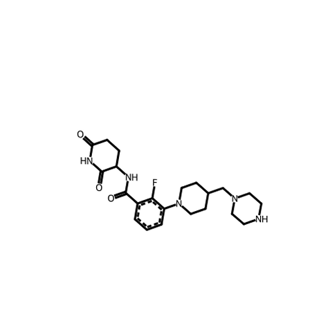 O=C1CCC(NC(=O)c2cccc(N3CCC(CN4CCNCC4)CC3)c2F)C(=O)N1